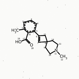 Cc1cccc(C2=CC3(CCN(C)CC3)C2)c1C(=O)O